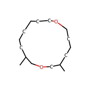 CC1CCCCCCOCCCCC(C)COC1